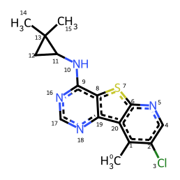 Cc1c(Cl)cnc2sc3c(NC4CC4(C)C)ncnc3c12